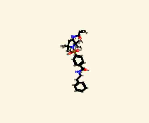 C=CC(=O)NC1CC(C)(C)N(S(=O)(=O)c2ccc(C(=O)NCCc3ccccc3)cc2)C1(C)C